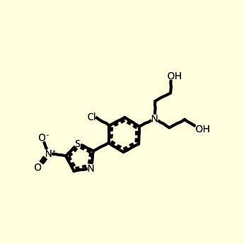 O=[N+]([O-])c1cnc(-c2ccc(N(CCO)CCO)cc2Cl)s1